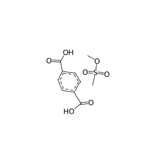 COS(C)(=O)=O.O=C(O)c1ccc(C(=O)O)cc1